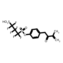 C=C(C)C(=O)Cc1ccc(OS(=O)(=O)C(F)(F)C(F)(F)C(F)(F)S(=O)(=O)O)cc1